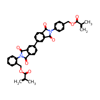 C=C(C)C(=O)OCc1ccc(N2C(=O)c3ccc(-c4ccc5c(c4)C(=O)N(c4ccccc4COC(=O)C(=C)C)C5=O)cc3C2=O)cc1